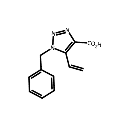 C=Cc1c(C(=O)O)nnn1Cc1ccccc1